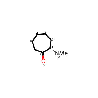 CN[C@H]1CCCCCC1=O